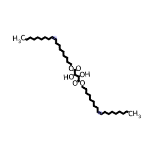 CCCCCCCC/C=C\CCCCCCCCOC(=O)C(O)C(O)C(=O)OCCCCCCCC/C=C\CCCCCCCC